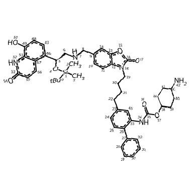 CC(C)(C)[Si](C)(C)O[C@H](CNCc1ccc2c(c1)oc(=O)n2CCCCc1ccc(-c2ccccc2)c(NC(=O)OC2CCC(N)CC2)c1)c1ccc(O)c2[nH]c(=O)ccc12